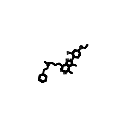 CCOc1ccc(-n2nc3c(CCCN(C)CCc4ccccc4)nnc(C)c3c2C)c(F)c1